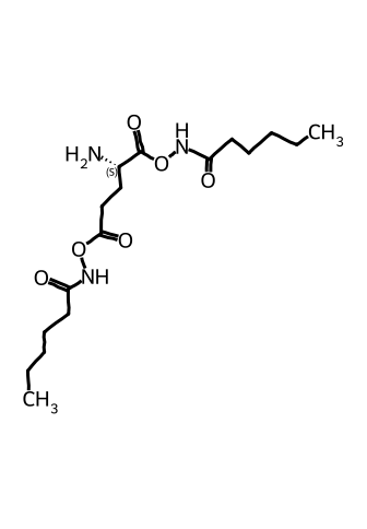 CCCCCC(=O)NOC(=O)CC[C@H](N)C(=O)ONC(=O)CCCCC